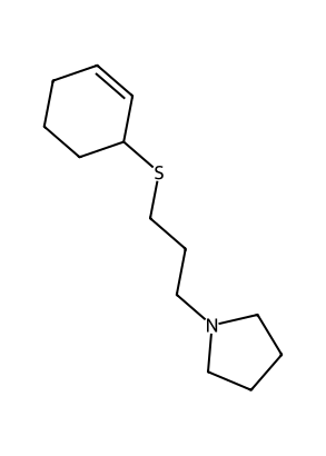 C1=CC(SCCCN2CCCC2)CCC1